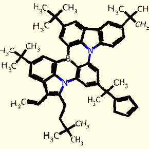 C=Cc1c(CCC(C)(C)C)n2c3c(cc(C(C)(C)C)cc13)B1c3c-2cc(C(C)(C)C2=CC=CC2)cc3-n2c3ccc(C(C)(C)C)cc3c3cc(C(C)(C)C)cc1c32